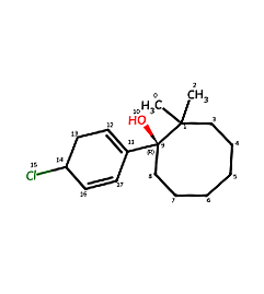 CC1(C)CCCCCC[C@]1(O)C1=CCC(Cl)C=C1